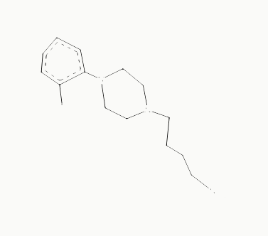 Cl.NCCCCN1CCN(c2ccccc2F)CC1